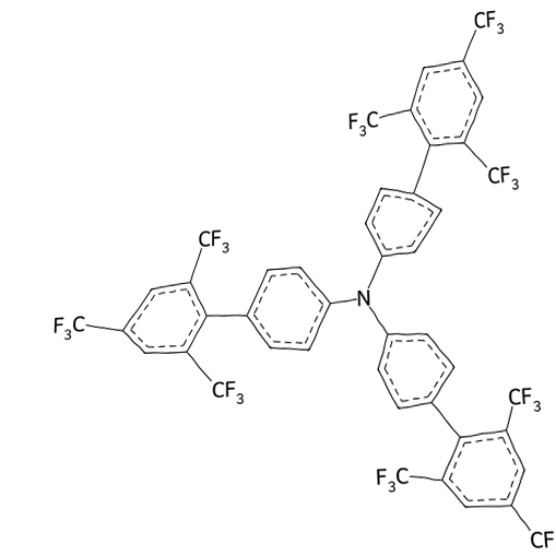 FC(F)(F)c1cc(C(F)(F)F)c(-c2ccc(N(c3ccc(-c4c(C(F)(F)F)cc(C(F)(F)F)cc4C(F)(F)F)cc3)c3ccc(-c4c(C(F)(F)F)cc(C(F)(F)F)cc4C(F)(F)F)cc3)cc2)c(C(F)(F)F)c1